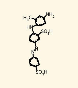 Cc1cc(N)ccc1Nc1ccc(N=Nc2ccc(S(=O)(=O)O)cc2)cc1S(=O)(=O)O